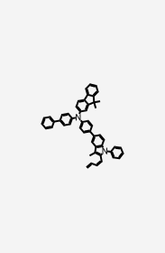 C=C/C=C\c1c(C)c2cc(-c3ccc(N(c4ccc(-c5ccccc5)cc4)c4ccc5c(c4)C(C)(C)c4ccccc4-5)cc3)ccc2n1-c1ccccc1